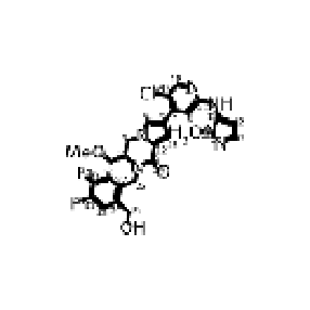 COCC1Cn2cc(-c3cc(Nc4ccnn4C)ncc3Cl)cc2C(=O)N1Cc1cc(F)c(F)cc1CO